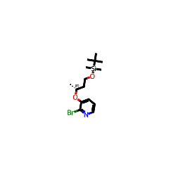 C[C@H](CCO[Si](C)(C)C(C)(C)C)Oc1cccnc1Br